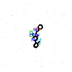 Cl.FC(F)(F)c1ccccc1-c1cc2nc(C3=NOC4(CCCCC4)C3)[nH]c2cn1